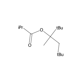 CC(C)C(=O)OC(C)(CC(C)(C)C)C(C)(C)C